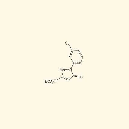 CCOC(=O)c1cc(=O)n(-c2cccc(Cl)c2)[nH]1